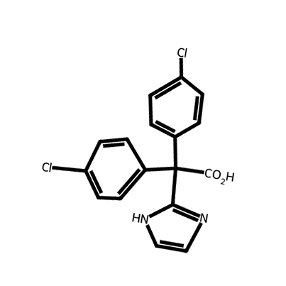 O=C(O)C(c1ccc(Cl)cc1)(c1ccc(Cl)cc1)c1ncc[nH]1